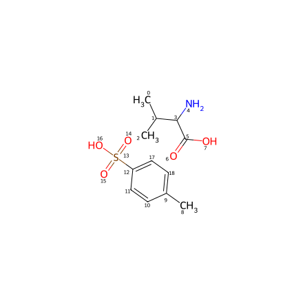 CC(C)C(N)C(=O)O.Cc1ccc(S(=O)(=O)O)cc1